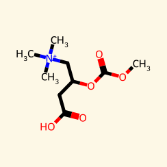 COC(=O)OC(CC(=O)O)C[N+](C)(C)C